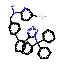 CCCCN(Cc1ccc(-c2ccccc2-c2nnnn2C(c2ccccc2)(c2ccccc2)c2ccccc2)cc1)c1ccc(C(=O)OCC)cn1